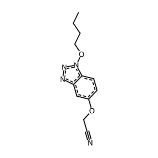 CCCCOn1nnc2cc(OCC#N)ccc21